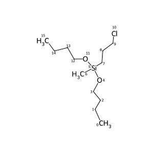 CCCCO[Si](C)(CCCCl)OCCCC